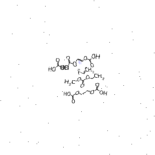 C=CF.CCOC(=O)OC.O=C(O)O.O=C(O)O/C=C/OC(=O)O.O=C(O)OCCOC(=O)O